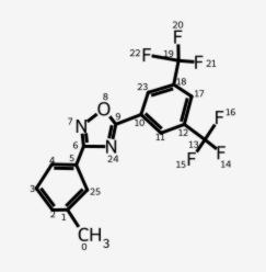 Cc1cccc(-c2noc(-c3cc(C(F)(F)F)cc(C(F)(F)F)c3)n2)c1